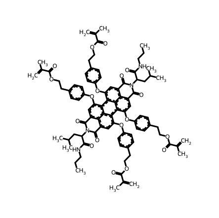 C=C(C)C(=O)OCCc1ccc(Oc2cc3c4c(cc(Oc5ccc(CCOC(=O)C(=C)C)cc5)c5c6c(Oc7ccc(CCOC(=O)C(=C)C)cc7)cc7c8c(cc(Oc9ccc(CCOC(=O)C(=C)C)cc9)c(c2c45)c86)C(=O)N(C(CC(C)C)C(=O)NCCC)C7=O)C(=O)N(C(CC(C)C)C(=O)NCCC)C3=O)cc1